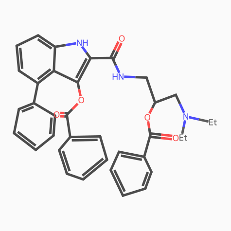 CCN(CC)CC(CNC(=O)c1[nH]c2cccc(-c3ccccc3)c2c1OC(=O)c1ccccc1)OC(=O)c1ccccc1